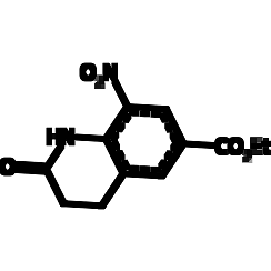 CCOC(=O)c1cc2c(c([N+](=O)[O-])c1)NC(=O)CC2